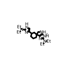 CCN(CC)c1nc(C2CCCC(CN)(c3c[nH]c(N(CC)CC)n3)C2)c[nH]1